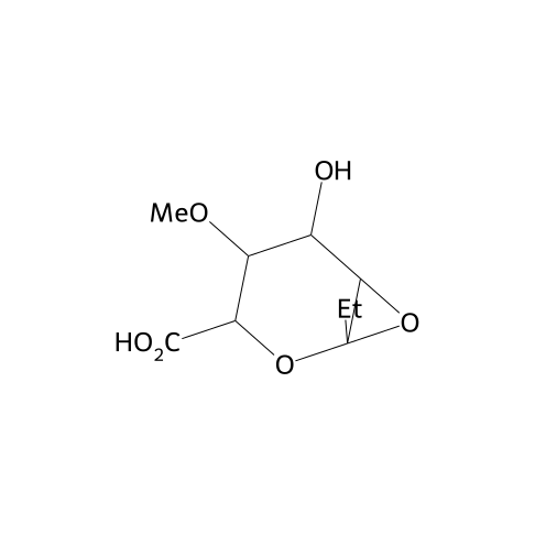 CCC12OC(C(=O)O)C(OC)C(O)C1O2